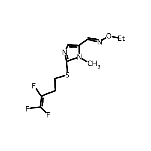 CCON=Cc1cnc(SCCC(F)=C(F)F)n1C